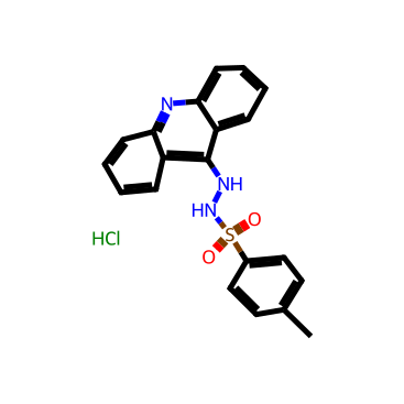 Cc1ccc(S(=O)(=O)NNc2c3ccccc3nc3ccccc23)cc1.Cl